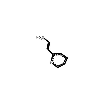 O=S(=O)(O)C=Cc1ccccn1